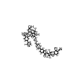 Cc1ncsc1-c1ccc([C@H](C)NC(=O)C2C[C@@H](O)CN2C(=O)[C@@H](NC(=O)COCCN2CCN(c3ccc4c(c3)CN([C@H]3C(C)(C)[C@H](Oc5ccc(C#N)c(Cl)c5)C3(C)C)C4=O)CC2)C(C)(C)C)cc1